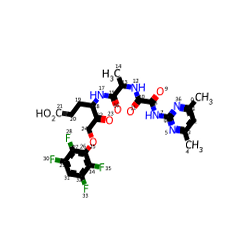 Cc1cc(C)nc(NC(=O)C(=O)NC(C)C(=O)NC(CCC(=O)O)C(=O)COc2c(F)c(F)cc(F)c2F)n1